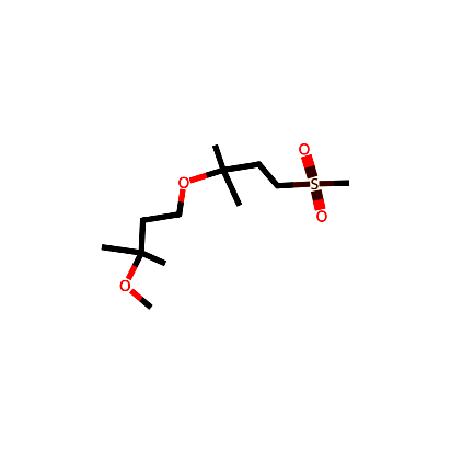 COC(C)(C)CCOC(C)(C)CCS(C)(=O)=O